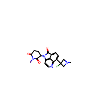 CN1CC(F)(c2ccc3c4c(ccnc24)N(C2CCC(=O)N(I)C2=O)C3=O)C1